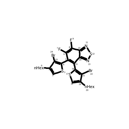 CCCCCCc1csc(-c2c(F)c(F)c3nsnc3c2-c2scc(CCCCCC)c2Br)c1Br